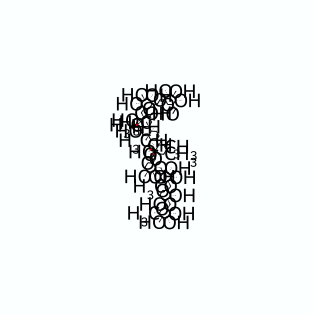 C[C@@H]1O[C@@H](O[C@@H]2[C@@H](O)[C@H](O[C@@H]3[C@@H](O)[C@@H](O)[C@H](O[C@H]4[C@H](OC(=O)[C@]56CCC(C)(C)C[C@H]5C5=CC[C@@H]7[C@@]8(C)C[C@H](O)[C@H](O[C@@H]9O[C@H](CO[C@@H]%10O[C@H](CO)[C@@H](O)[C@H](O)[C@H]%10O)[C@@H](O)[C@H](O)[C@H]9O)[C@@](C)(CO)[C@@H]8[C@H](O)C[C@@]7(C)[C@]5(C)C[C@H]6O)OC[C@H](O)[C@@H]4O)O[C@H]3C)OC[C@H]2O)[C@H](O)[C@H](O)[C@H]1O